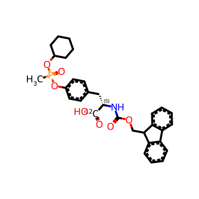 CP(=O)(Oc1ccc(C[C@H](NC(=O)OCC2c3ccccc3-c3ccccc32)[12C](=O)O)cc1)OC1CCCCC1